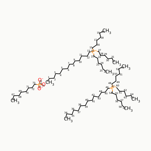 CCCCCCCCCCCCCC[P+](CCCCCC)(CCCCCC)CCCCCC.CCCCCCCCCCCCCC[P+](CCCCCC)(CCCCCC)CCCCCC.CCCCCCCCP(=O)([O-])[O-]